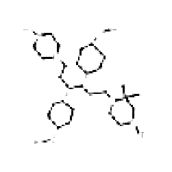 CCN1CCN(CCC(C(CCN2CCN(C(C)C)CC2(C)C)[C@H]2CC[C@H](OC(C)C)CC2)[C@H]2CC[C@H](OC(C)C)CC2)CC1